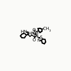 Cc1ccc(S(=O)(=O)NC(Cc2c[nH]c3ccccc23)C(=O)Nc2nc3ccccc3s2)cc1